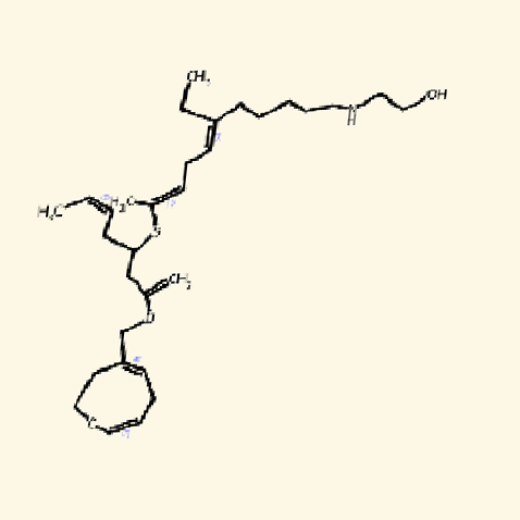 C=C(CC(C/C=C\C)S/C(C)=C/C/C=C(\CC)CCCCCNCCO)OC/C1=C/C/C=C\CCC1